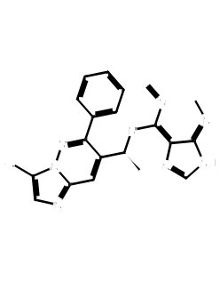 C=N/C(N[C@@H](C)c1cc2ncc(Cl)n2nc1-c1ccccc1)=C1/N=CN/C1=N/C